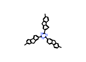 Cc1ccc2c(c1)Cc1cc(-c3nc(-c4ccc5c(c4)Cc4cc(C)ccc4-5)nc(-c4ccc5c(c4)Cc4cc(C)ccc4-5)n3)ccc1-2